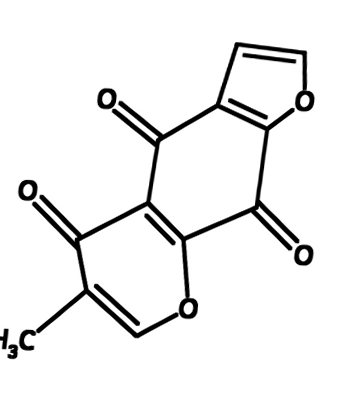 Cc1coc2c(c1=O)C(=O)c1ccoc1C2=O